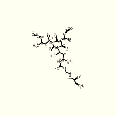 C=CC(=O)OCCOC(=O)NC(C)CC(C)n1c(=O)n(C(C)CC(C)N=C=O)c(=O)n(C(CC)N=C=O)c1=O